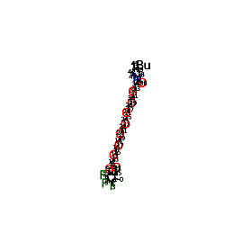 Cc1c(F)c(F)c(F)c(OC(=O)CCOCCOCCOCCOCCOCCOCCOCCC(=O)N2CCC(C(C)(C)C)CC2)c1F